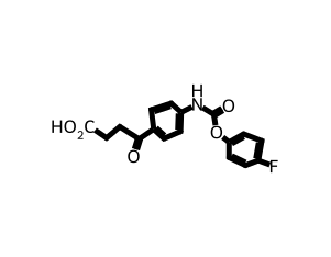 O=C(O)CCC(=O)c1ccc(NC(=O)Oc2ccc(F)cc2)cc1